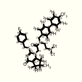 [2H]c1c([2H])c(-c2c([2H])c([2H])c(C(F)(F)F)c([2H])c2[2H])c([2H])c([2H])c1CN(CCN(CC)CC)C(=O)Cn1c(SCc2ccc(F)cc2)nc(=O)c2c1C([2H])([2H])C([2H])(C)C2([2H])[2H]